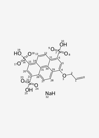 C=CCOc1cc(S(=O)(=O)O)c2ccc3c(S(=O)(=O)O)cc(S(=O)(=O)O)c4ccc1c2c43.[NaH]